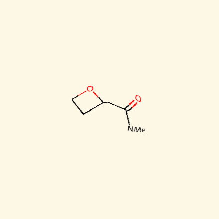 CNC(=O)C1CCO1